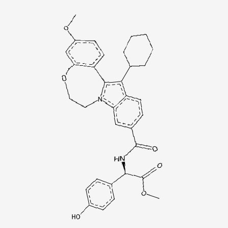 COC(=O)[C@H](NC(=O)c1ccc2c(C3CCCCC3)c3n(c2c1)CCOc1cc(OC)ccc1-3)c1ccc(O)cc1